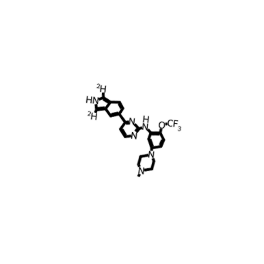 [2H]c1[nH]c([2H])c2cc(-c3ccnc(Nc4cc(N5CCN(C)CC5)ccc4OC(F)(F)F)n3)ccc12